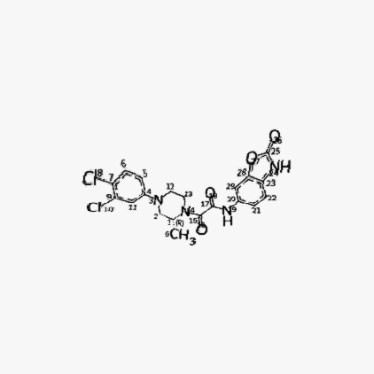 C[C@@H]1CN(c2ccc(Cl)c(Cl)c2)CCN1C(=O)C(=O)Nc1ccc2[nH]c(=O)oc2c1